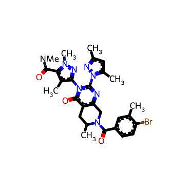 CNC(=O)c1c(C)c(-n2c(-n3nc(C)cc3C)nc3c(c2=O)CC(C)N(C(=O)c2ccc(Br)c(C)c2)C3)nn1C